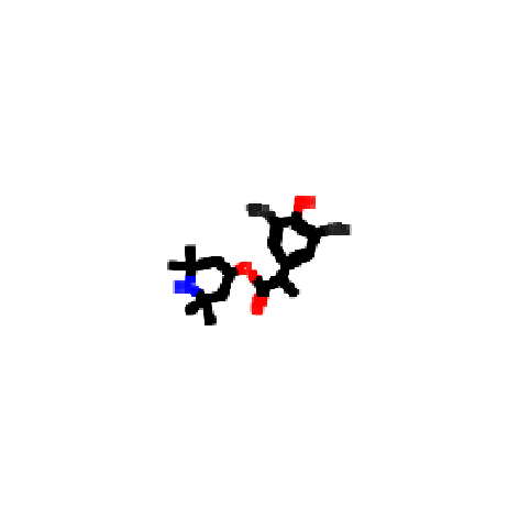 CC(C(=O)OC1CC(C)(C)NC(C)(C)C1)c1cc(C(C)(C)C)c(O)c(C(C)(C)C)c1